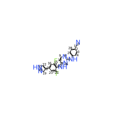 N#Cc1ccc(Nc2nccc(Nc3c(F)cc(-c4cn[nH]c4)cc3F)n2)cc1